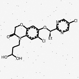 CC[C@@H](Oc1cc2c(cc1Cl)N(CCC(O)O)C(=O)CO2)c1ncc(Cl)cn1